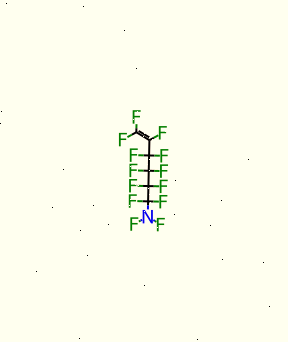 FC(F)=C(F)C(F)(F)C(F)(F)C(F)(F)C(F)(F)N(F)F